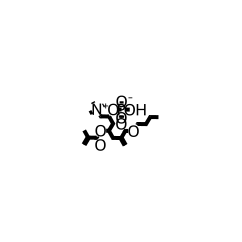 C=C(C)C(=O)OC(CC(=C)C(=O)OCCCC)CC(C[N+](C)(C)C)OP(=O)([O-])O